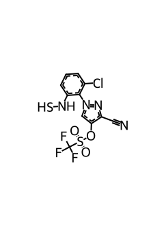 N#Cc1nn(-c2c(Cl)cccc2NS)cc1OS(=O)(=O)C(F)(F)F